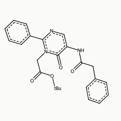 CC(C)(C)OC(=O)Cn1c(-c2ccccc2)ncc(NC(=O)Cc2ccccc2)c1=O